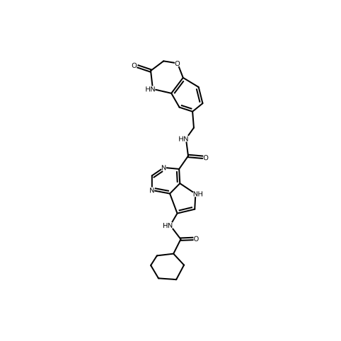 O=C1COc2ccc(CNC(=O)c3ncnc4c(NC(=O)C5CCCCC5)c[nH]c34)cc2N1